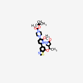 COc1nc(-c2cc(O[C@H](C)C3CNC(=O)C3)c3scnc3c2)ccc1N1CCN(C(=O)OC(C)(C)C)CC1